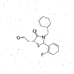 O=CCC1SC(C2=C(F)CCC=C2)N(CC2CCCCC2)C1=O